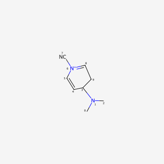 CN(C)C1C=C[N+](C#N)=CC1